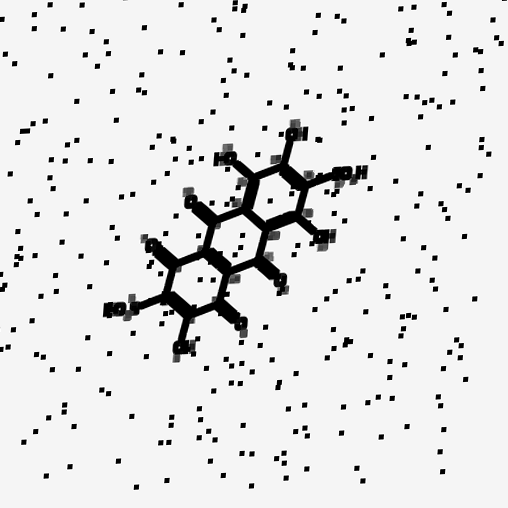 O=c1c(O)c(S(=O)(=O)O)c(=O)c2c(=O)c3c(O)c(O)c(S(=O)(=O)O)c(O)c3c(=O)c1=2